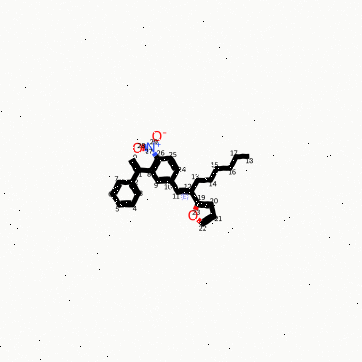 C=C(c1ccccc1)c1cc(/C=C(\CCCCCC)c2ccco2)ccc1[N+](=O)[O-]